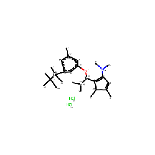 CC1=CC(N(C)C)=[C]([Ti]([O]c2cc(C)cc([Si](C)(C)C(C)(C)C)c2)[SiH](C)C)C1C.Cl.Cl